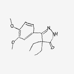 CCC1(CC)C(=O)NN=C1c1ccc(OC)c(OC)c1